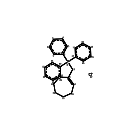 C1=C(C[P+](c2ccccc2)(c2ccccc2)c2ccccc2)OCCCC1.[Cl-]